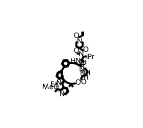 C=CC(=O)N1CCC2(CC1)OCN(C(C(=O)N[C@H]1Cc3cccc(c3)-c3ccc4c(c3)c(c(-c3cccnc3[C@H](C)OC)n4CC)CC(C)(C)COC(=O)[C@@H]3CCCN(N3)C1=O)C(C)C)C2=O